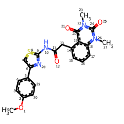 COc1ccc(-c2csc(NC(=O)Cc3cccc4c3c(=O)n(C)c(=O)n4C)n2)cc1